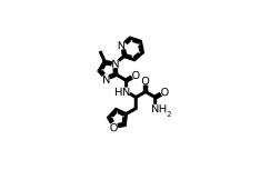 Cc1cnc(C(=O)NC(Cc2ccoc2)C(=O)C(N)=O)n1-c1ccccn1